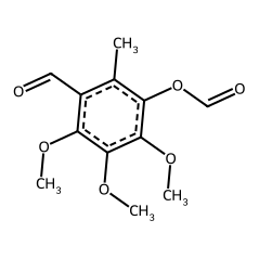 COc1c(C=O)c(C)c(OC=O)c(OC)c1OC